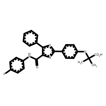 CC(C)(Oc1ccc(-c2nc(C(=O)Nc3ccc(F)cc3)c(-c3ccccc3)s2)cc1)C(=O)O